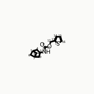 O=C(NC12CC3CC(C3)(C1)C2)OCc1cccs1